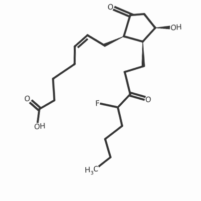 CCCCC(F)C(=O)CC[C@@H]1[C@H](O)CC(=O)[C@@H]1C/C=C\CCCC(=O)O